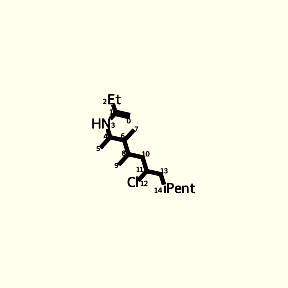 C=C(CC)NC(C)C(C)C(C)CC(Cl)CC(C)CCC